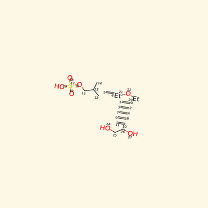 C=C.C=C.C=C.C=C.C=C.C=C.CC(C)COS(=O)(=O)O.CCOCC.OCCO